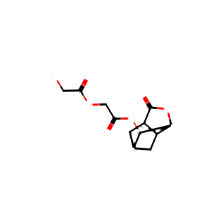 O=C(CO)OCC(=O)O[C@@H]1C2CC3C(=O)OC1C3C2